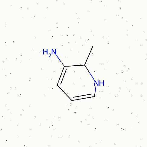 C[C]1NC=CC=C1N